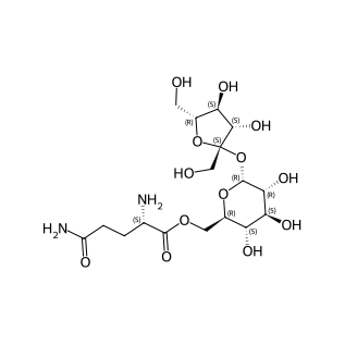 NC(=O)CC[C@H](N)C(=O)OC[C@H]1O[C@H](O[C@]2(CO)O[C@H](CO)[C@@H](O)[C@@H]2O)[C@H](O)[C@@H](O)[C@@H]1O